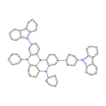 c1ccc(N2c3cc(-c4ccc(-n5c6ccccc6c6ccccc65)cc4)ccc3B3c4ccc(-n5c6ccccc6c6ccccc65)cc4N(c4ccccc4)c4cccc2c43)cc1